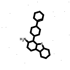 NC1CCC2C3CCCCC3SC2C1C1CCC(C2=CCCCC2)CC1